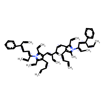 C=C/C=C\c1c(/C=C\C(=C)/C(C=C)=C/c2c(/C=C\C=C)c(C=C)n(/C(C=C)=C/C=C(\C=C)c3ccccc3)c2C=C)c(C=C)n(C(/C=C(\C=C/C)c2ccccc2)=C/C)c1C